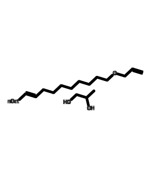 C=CCOCCCCCCCCC=CCCCCCCCC.CC(O)CO